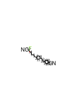 N#CC(F)=CC=CCCC1CCC(CCc2ccc(C#N)cc2)CC1